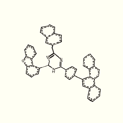 c1ccc2cc(C3=NC(c4cccc5oc6ccccc6c45)NC(c4ccc(-c5cc6ccccc6c6ccc7ccccc7c56)cc4)=N3)ccc2c1